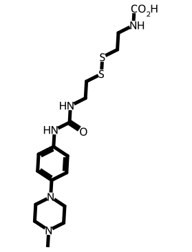 CN1CCN(c2ccc(NC(=O)NCCSSCCNC(=O)O)cc2)CC1